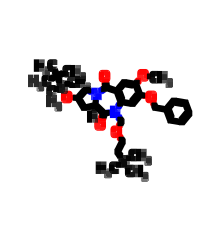 COc1cc2c(cc1OCc1ccccc1)N(COCC[Si](C)(C)C)C(=O)[C@@H]1CC(O[Si](C)(C)C(C)(C)C)CN1C2=O